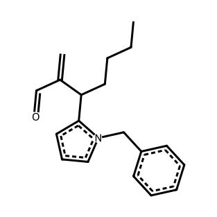 C=C(C=O)C(CCCC)c1cccn1Cc1ccccc1